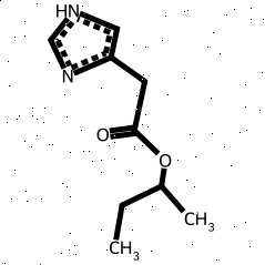 CCC(C)OC(=O)Cc1c[nH]cn1